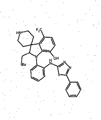 CC(C)(C)CC1N(c2ccccc2Nc2nnc(-c3ccccc3)s2)c2c(O)ccc(C(F)(F)F)c2C12CCNCC2